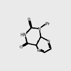 CC(C)N1C(=O)NC(=O)C2N=CC=NC21